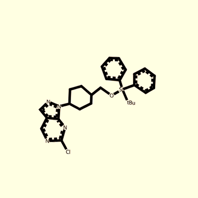 CC(C)(C)[Si](OCC1CCC(n2ncc3cnc(Cl)nc32)CC1)(c1ccccc1)c1ccccc1